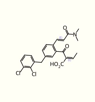 C/C=C(/C(=O)O)C(=O)c1cc(Cc2cccc(Cl)c2Cl)ccc1/C=C/C(=O)N(C)C